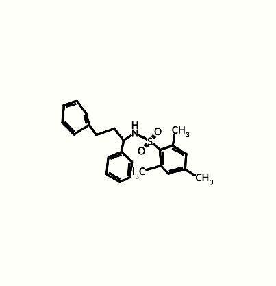 Cc1cc(C)c(S(=O)(=O)NC(CCc2ccccc2)c2ccccc2)c(C)c1